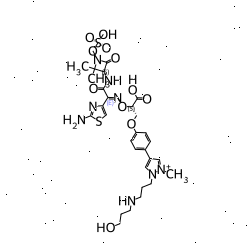 C[n+]1cc(-c2ccc(OC[C@H](O/N=C(/C(=O)N[C@@H]3C(=O)N(OS(=O)(=O)O)C3(C)C)c3csc(N)n3)C(=O)O)cc2)cn1CCCNCCCO